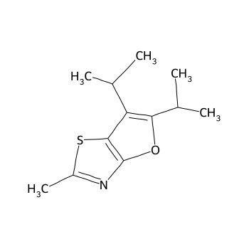 Cc1nc2oc(C(C)C)c(C(C)C)c2s1